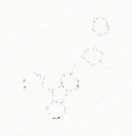 CC1=CC=NC(n2c3ccccc3c3ccc(C(O)c4cc(Br)cc(-c5ccccc5)c4)cc32)C1